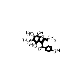 Bc1c(O)c(O)c2oc(CC)c(C(=O)c3ccc(O)cc3)c2c1O